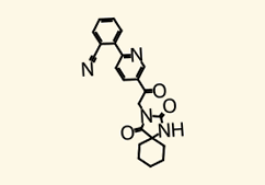 N#Cc1ccccc1-c1ccc(C(=O)CN2C(=O)NC3(CCCCC3)C2=O)cn1